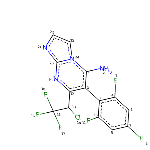 Nc1c(-c2c(F)cc(F)cc2F)c(C(Cl)C(F)(F)F)nc2nccn12